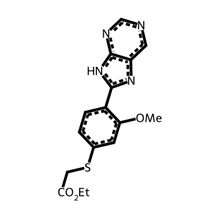 CCOC(=O)CSc1ccc(-c2nc3cncnc3[nH]2)c(OC)c1